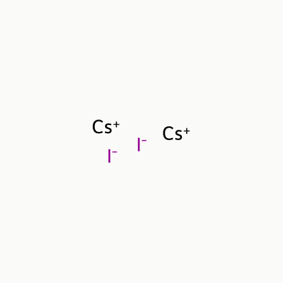 [Cs+].[Cs+].[I-].[I-]